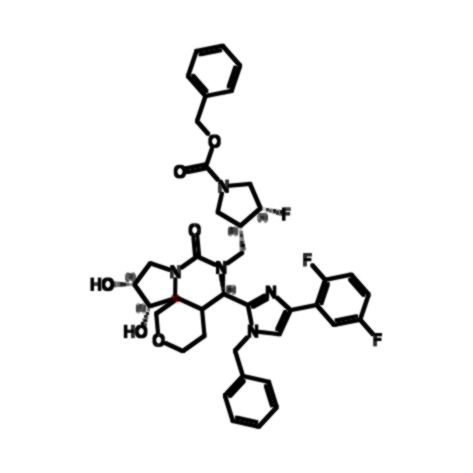 O=C(OCc1ccccc1)N1C[C@@H](CN(C(=O)N2C[C@@H](O)[C@@H](O)C2)[C@@H](c2nc(-c3cc(F)ccc3F)cn2Cc2ccccc2)C2CCOCC2)[C@@H](F)C1